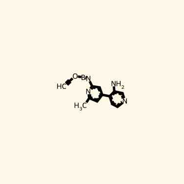 C#CO/B=N/c1cc(-c2ccncc2N)cc(C)n1